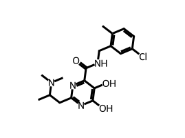 Cc1ccc(Cl)cc1CNC(=O)c1nc(CC(C)N(C)C)nc(O)c1O